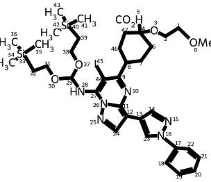 COCCOC1(C(=O)O)CCC(c2nc3c(-c4cnn(-c5ccccc5)c4)cnn3c(NC(OCC[Si](C)(C)C)OCC[Si](C)(C)C)c2I)CC1